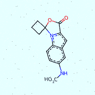 O=C(O)Nc1ccc2c(c1)cc1n2C2(CCC2)OC1=O